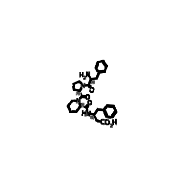 N[C@@H](Cc1ccccc1)C(=O)N1CCC[C@H]1C(=O)N1CCCC[C@H]1C(=O)N[C@H](CC(=O)O)Cc1ccccc1